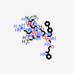 CC(C)CC(NC(=O)C(CCCNC(=N)N)NC(=O)[C@@H](CC(C)C)NC(=O)CNC(=O)C(CCCNC(=N)N)NC(=O)C(Cc1ccc(-c2ccccc2)cc1)NC(=O)CNC(=O)CCc1c[nH]c2ccccc12)C(=O)NC(C(N)=O)C(C)C